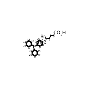 C[C@H](Br)CCCC(=O)O.c1ccc(P(c2ccccc2)c2ccccc2)cc1